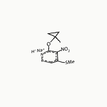 CSc1ccnc(OC2(C)CC2)c1[N+](=O)[O-].[H-].[Na+]